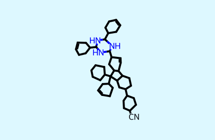 N#CC1CCC(C2CCC3C4C=CC(C5NC(C6CC=CCC6)NC(C6CC=CCC6)N5)CC4C(C4CC=CCC4)(C4CCCCC4)C3C2)CC1